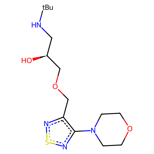 CC(C)(C)NC[C@H](O)COCc1nsnc1N1CCOCC1